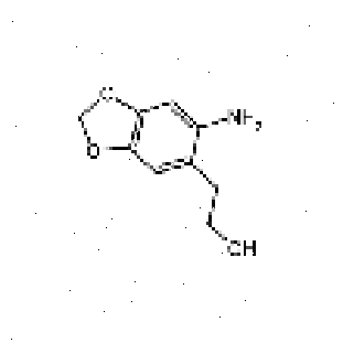 Nc1cc2c(cc1CCO)OCO2